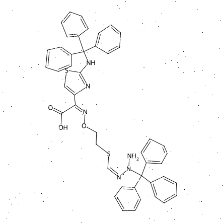 NN(/N=C\SCCO/N=C(\C(=O)O)c1csc(NC(c2ccccc2)(c2ccccc2)c2ccccc2)n1)C(c1ccccc1)(c1ccccc1)c1ccccc1